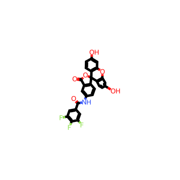 O=C(Nc1ccc2c(c1)C(=O)OC21c2ccc(O)cc2Oc2cc(O)ccc21)c1cc(F)c(F)c(F)c1